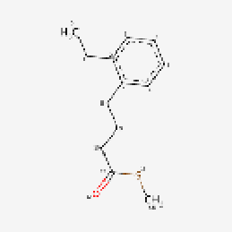 CCc1ccccc1CCCC(=O)SC